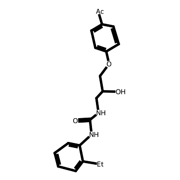 CCc1ccccc1NC(=O)NCC(O)COc1ccc(C(C)=O)cc1